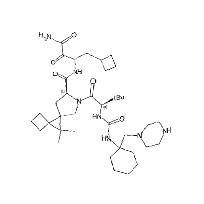 CC(C)(C)[C@@H](NC(=O)NC1(CN2CCNCC2)CCCCC1)C(=O)N1CC2(C[C@H]1C(=O)NC(CC1CCC1)C(=O)C(N)=O)C(C)(C)C21CCC1